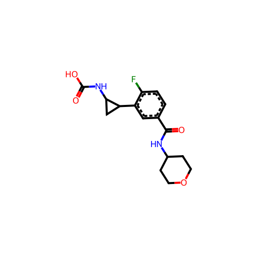 O=C(O)NC1CC1c1cc(C(=O)NC2CCOCC2)ccc1F